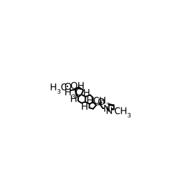 COC[C@@]1(O)CC[C@@]2(C)[C@@H](CC[C@@H]3[C@@H]2CC[C@]2(C)[C@@H](C(=O)Cn4ccc(C)n4)CC[C@@H]32)C1